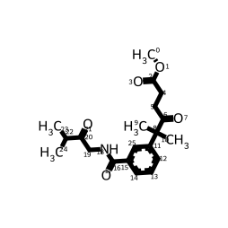 COC(=O)CCC(=O)C(C)(C)c1cccc(C(=O)NCC(=O)C(C)C)c1